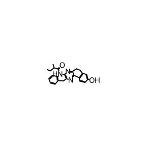 CCC(C)C(=O)Nc1nc2c(nc1Cc1ccccc1)-c1ccc(O)cc1CC2